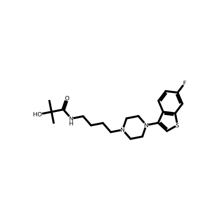 CC(C)(O)C(=O)NCCCCN1CCN(c2csc3cc(F)ccc23)CC1